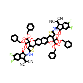 N#CC(C#N)=C1/C(=N/c2cc3c(s2)C2=CC4C=C5OC(C(=O)OCc6ccccc6)(C(=O)OCc6ccccc6)c6cc(NC7C(=O)c8cc(F)c(F)cc8C7=C(C#N)C#N)sc6C5=CC4C=C2OC3(C(=O)OCc2ccccc2)C(=O)OCc2ccccc2)C(=O)c2cc(F)c(F)cc21